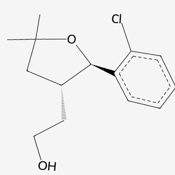 CC1(C)C[C@@H](CCO)[C@H](c2ccccc2Cl)O1